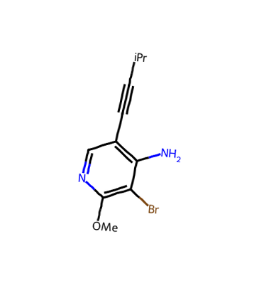 COc1ncc(C#CC(C)C)c(N)c1Br